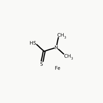 CN(C)C(=S)S.[Fe]